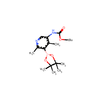 Cc1ncc(NC(=O)OC(C)(C)C)c(C)c1B1OC(C)(C)C(C)(C)O1